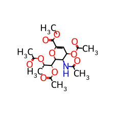 COC(=O)C1=CC(OC(C)=O)[C@@H](NC(C)=O)C([C@H](OC(C)=O)[C@@H](C)OC(C)=O)O1